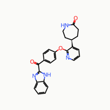 O=C1CC[C@@H](c2cccnc2Oc2ccc(C(=O)c3nc4ccccc4[nH]3)cc2)CCN1